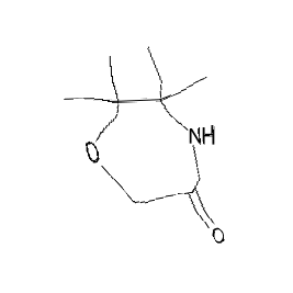 CC1(C)NC(=O)COC1(C)C